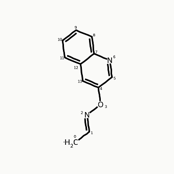 [CH2]C=NOc1cnc2ccccc2c1